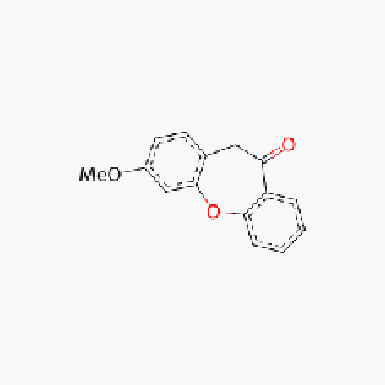 COc1ccc2c(c1)Oc1ccccc1C(=O)C2